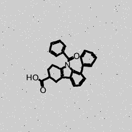 O=C(O)C1CCc2c(c3cccc(-c4ccccc4)c3n2C(=O)c2ccccc2)C1